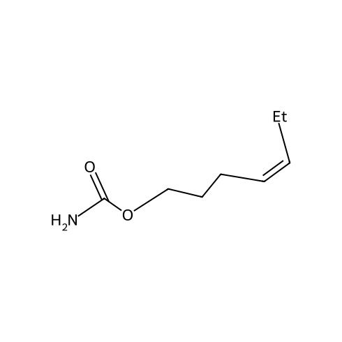 CC/C=C\CCCOC(N)=O